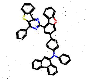 c1ccc(-c2nc(-c3cc(-c4ccc(N(c5ccccc5)c5cc6ccccc6c6ccccc56)cc4)cc4oc5ccccc5c34)nc3c2sc2ccccc23)cc1